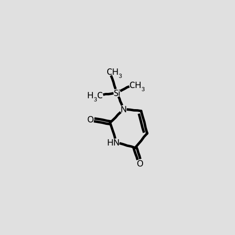 C[Si](C)(C)n1ccc(=O)[nH]c1=O